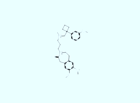 COc1cccc(C2(CN(C)CCCN3CCc4cc(OC)c(OC)cc4CC3=O)CCC2)c1